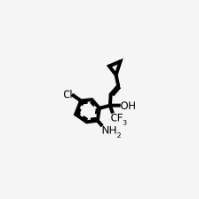 Nc1ccc(Cl)cc1C(O)(C=CC1CC1)C(F)(F)F